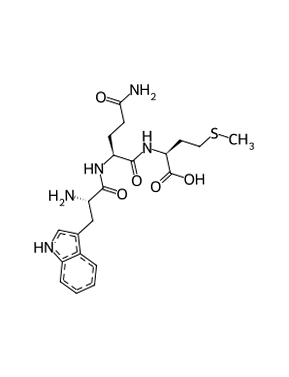 CSCC[C@H](NC(=O)[C@H](CCC(N)=O)NC(=O)[C@@H](N)Cc1c[nH]c2ccccc12)C(=O)O